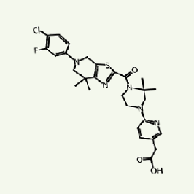 CC1(C)CN(c2ccc(Cl)c(F)c2)Cc2sc(C(=O)N3CCN(c4ccc(CC(=O)O)cn4)CC3(C)C)nc21